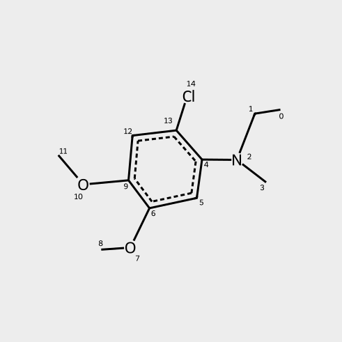 CCN(C)c1cc(OC)c(OC)cc1Cl